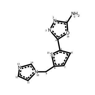 Nc1nnc(-c2ccc(Cn3ccnc3)s2)o1